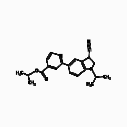 CC(C)OC(=O)c1ccnc(-c2ccc3c(c2)C(C#N)CN3C(C)C)c1